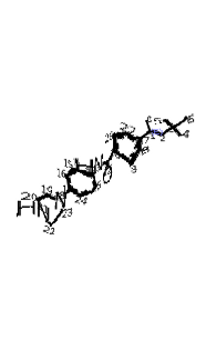 C/C(=C\C(C)(C)C)c1ccc(C(=O)Nc2ccc(N3CCNCC3)cc2)cc1